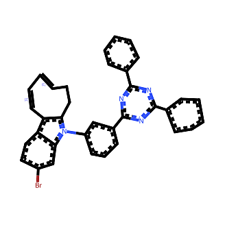 Brc1ccc2c3c(n(-c4cccc(-c5nc(-c6ccccc6)nc(-c6ccccc6)n5)c4)c2c1)CC/C=C/C=C\3